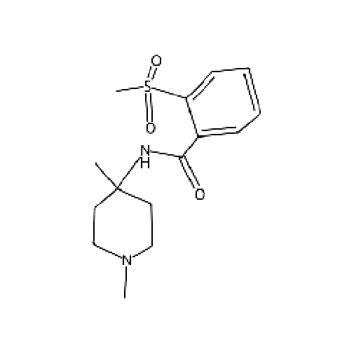 CN1CCC(C)(NC(=O)c2ccccc2S(C)(=O)=O)CC1